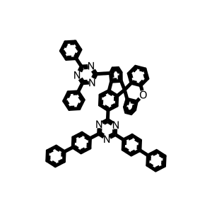 c1ccc(-c2ccc(-c3nc(-c4ccc(-c5ccccc5)cc4)nc(-c4ccc5c(c4)C4(c6ccccc6Oc6ccccc64)c4cccc(-c6nc(-c7ccccc7)nc(-c7ccccc7)n6)c4-5)n3)cc2)cc1